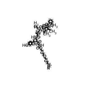 CCCO[C@H](C[C@H](C(C)C)N(CCC)C(=O)[C@@H](NC(=O)[C@H]1CCCCN1C)[C@@H](C)CC)c1nc(C(=O)N[C@@H](CCc2ccc(O)cc2)C[C@H](C)C(=O)NNC(=O)OCCOCCOCCOCCN=[N+]=[N-])cs1